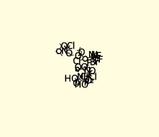 CC(C)OC(=O)c1cc(-c2nn(C)c(C(F)(F)F)c2Br)c(F)cc1Cl.CC1(C)OC(c2ccco2)CN1C(=O)C(Cl)Cl.CCOCN(C(=O)CCl)c1c(C)cccc1CC.CP(=O)(O)CCC(N)C(=O)O